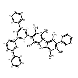 Oc1c(-c2ccccc2)c(O)c2c(sc3c(O)c(-c4nc(-c5ccccc5)nc(-c5cccc(-c6ccccc6)c5)n4)c(O)c(O)c32)c1O